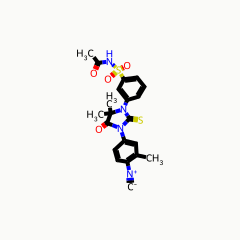 [C-]#[N+]c1ccc(N2C(=O)C(C)(C)N(c3cccc(S(=O)(=O)NC(C)=O)c3)C2=S)cc1C